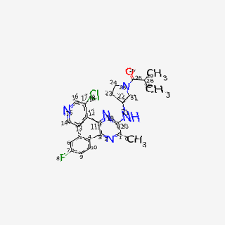 Cc1nc(-c2ccc(F)cc2)c(-c2ccncc2Cl)nc1N[C@H]1CCN(C(=O)C(C)C)C1